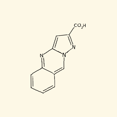 O=C(O)c1cc2nc3ccccc3cn2n1